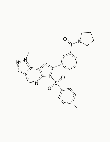 Cc1ccc(S(=O)(=O)n2c(-c3cccc(C(=O)N4CCCC4)c3)cc3c4c(cnc32)cnn4C)cc1